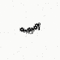 C#CCN1C(=O)CCc2cc(C(=O)CN3CCN(CCOc4ccccc4)CC3)ccc21.Cl